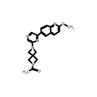 COc1ccc2cc(-c3cncc(N4CC5(CN(C(C)=O)C5)C4)n3)ccc2n1